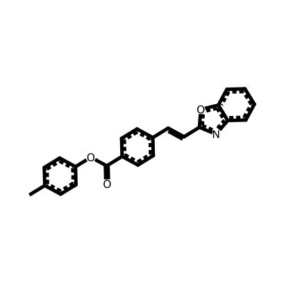 Cc1ccc(OC(=O)c2ccc(/C=C/c3nc4ccccc4o3)cc2)cc1